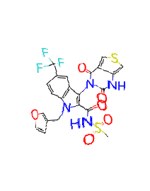 CS(=O)(=O)NC(=O)c1c(-n2c(=O)[nH]c3cscc3c2=O)c2cc(C(F)(F)F)ccc2n1Cc1ccoc1